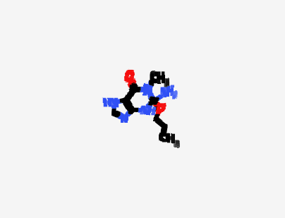 CCCOC1(N)Nc2nc[nH]c2C(=O)N1C